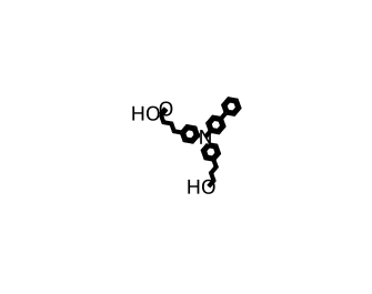 O=C(O)CCCc1ccc(N(c2ccc(CCCO)cc2)c2ccc(-c3ccccc3)cc2)cc1